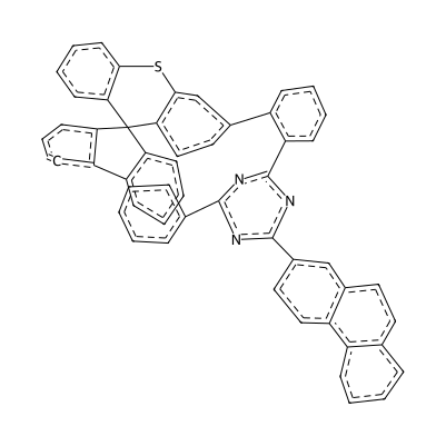 c1ccc(-c2nc(-c3ccc4c(ccc5ccccc54)c3)nc(-c3ccccc3-c3ccc4c(c3)Sc3ccccc3C43c4ccccc4-c4ccccc43)n2)cc1